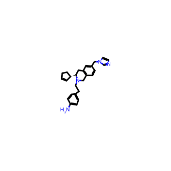 Nc1ccc(CCN2Cc3ccc(Cn4ccnc4)cc3CC2[C@@H]2C=CCC2)cc1